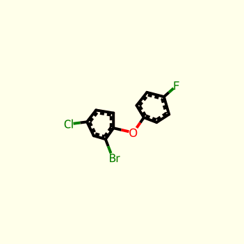 Fc1ccc(Oc2ccc(Cl)cc2Br)cc1